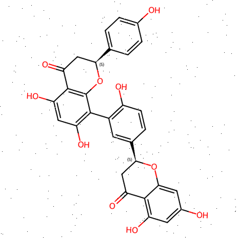 O=C1C[C@@H](c2ccc(O)c(-c3c(O)cc(O)c4c3O[C@H](c3ccc(O)cc3)CC4=O)c2)Oc2cc(O)cc(O)c21